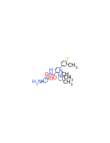 Cc1cc(-c2ccc(C(=O)NS(=O)(=O)N3CC[C@H](N)C3)c(N3CCC(C)C3(C)C)n2)ccc1F